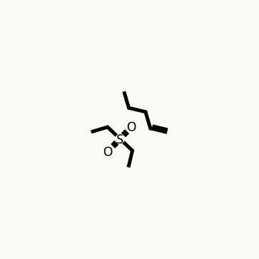 C=CCCC.CCS(=O)(=O)CC